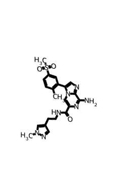 Cc1ccc(S(C)(=O)=O)cc1-c1cnc2c(N)nc(C(=O)NCCc3cnn(C)c3)cn12